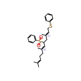 CC(C)=CCC/C(C)=C/C(C/C(C)=C/CSc1ccccc1)S(=O)(=O)c1ccccc1